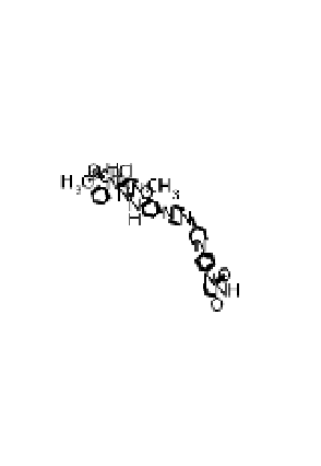 COc1cc(N2CCN(CC3CCN(c4ccc(-n5ccc(=O)[nH]c5=O)cc4)CC3)CC2)ccc1Nc1ncc(Cl)c(Nc2ccccc2P(C)(C)=O)n1